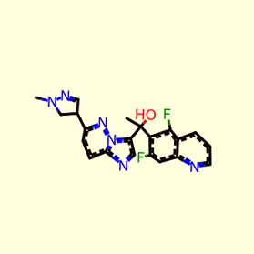 CN1CC(c2ccc3ncc(C(C)(O)c4c(F)cc5ncccc5c4F)n3n2)C=N1